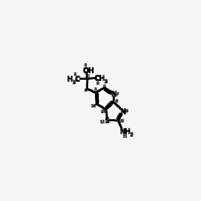 CC(C)(O)Cc1cnc2nc(N)sc2c1